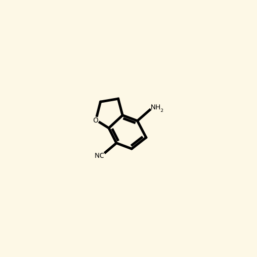 N#Cc1ccc(N)c2c1OCC2